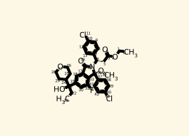 CCOC(=O)C[C@@H](c1ccc(Cl)cc1)N1C(=O)c2cc(C(O)(CC)C3CCOCC3)cc(F)c2[C@]1(OC)c1ccc(Cl)cc1